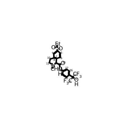 CCS(=O)(=O)c1ccc2c(c1)CCN(C=O)C2C(=O)Nc1ccc(C(O)(C(F)(F)F)C(F)(F)F)cc1